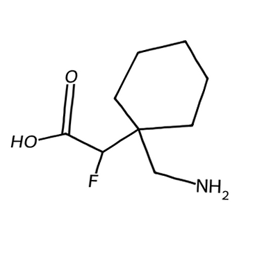 NCC1(C(F)C(=O)O)CCCCC1